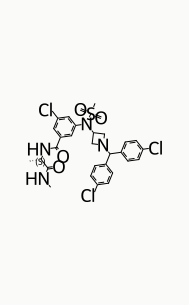 CNC(=O)[C@H](C)NC(=O)c1cc(Cl)cc(N(C2CN(C(c3ccc(Cl)cc3)c3ccc(Cl)cc3)C2)S(C)(=O)=O)c1